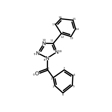 O=C(c1ccccc1)n1nnc(-c2ccccc2)n1